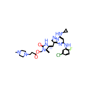 C=c1/c(=C/c2cnn3c(NC4CC4)cc(Nc4cc(Cl)ccc4F)nc23)[nH]c(=O)n1COC(=O)CCN1CCN(C)CC1